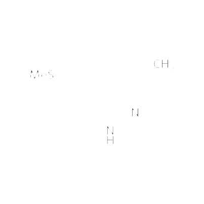 CSC1=CC(C)=NNC1